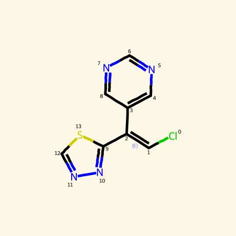 Cl/C=C(\c1cncnc1)c1nncs1